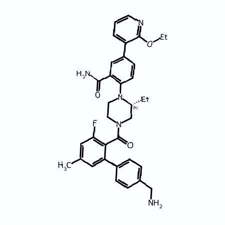 CCOc1ncccc1-c1ccc(N2CCN(C(=O)c3c(F)cc(C)cc3-c3ccc(CN)cc3)C[C@H]2CC)c(C(N)=O)c1